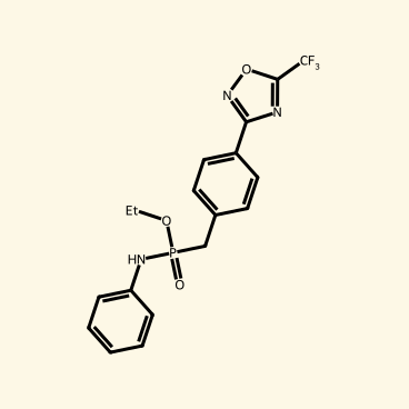 CCOP(=O)(Cc1ccc(-c2noc(C(F)(F)F)n2)cc1)Nc1ccccc1